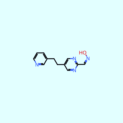 O/N=C\c1ncc(CCc2cccnc2)cn1